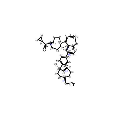 C=C1CN=CC=C(N2CC/C=C(\C(=O)C3CC3)CCC2)/C1=C/C(=C\C)c1ccc([C@@]2(C)/C=C/CC/C(=C\C(C)C)CC2)cc1